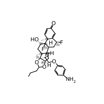 CCCC1O[C@@H]2C[C@H]3[C@@H]4C[C@H](F)C5=CC(=O)C=C[C@]5(C)[C@@]4(F)[C@@H](O)C[C@]3(C)[C@]2(C(=O)COc2ccc(N)cc2)O1